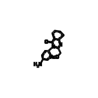 CC(=O)OCc1nc2ccccc2c(=O)n1-c1ccc(N)cc1